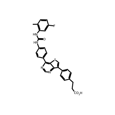 Cc1ccc(F)cc1NC(=O)Nc1ccc(-c2ncnc3c(-c4ccc(CCC(=O)O)cc4)csc23)cc1